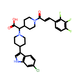 O=C(O)C(C1CCN(C(=O)C=Cc2ccc(F)c(F)c2F)CC1)N1CCC(c2c[nH]c3cc(Cl)ccc23)CC1